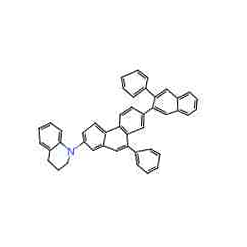 c1ccc(-c2cc3ccccc3cc2-c2ccc3c(c2)c(-c2ccccc2)cc2cc(N4CCCc5ccccc54)ccc23)cc1